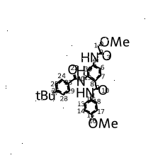 COCC(=O)Nc1ccc(C(=O)Nc2ccc(OC)cc2)c(NC(=O)c2ccc(C(C)(C)C)cc2)c1